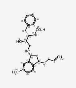 C=CCO[C@@H]1C[C@H](NC[C@@H](O)[C@H](Cc2ccccc2)NC(=O)O)c2cc(C)ccc21